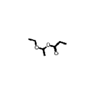 CCOC(C)OC(=O)CC